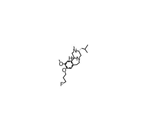 COc1cc2c(cc1OCCCF)CCN1C[C@@H](CC(C)C)N(C)C[C@@H]21